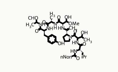 C=C(N[C@H](C(=O)N[C@@H](C)C(=O)N[C@@H](Cc1ccc(O)cc1)C(=O)NC(C)C=O)C(O)OC)[C@H]1CCCN1C(=O)C(NC(=O)[C@H](CC(C)C)NC(=O)CCCCCCCCC)C(C)O